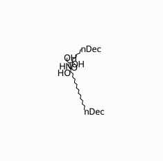 CCCCCCCCCCCCCCCCCCCCCCCCC(O)C(=O)NC(CO)C(O)CCCCCCCCCCCCCCC